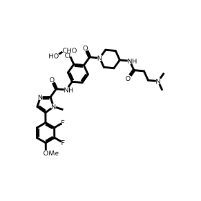 COc1ccc(-c2cnc(C(=O)Nc3ccc(C(=O)N4CCC(NC(=O)CCN(C)C)CC4)c(Cl)c3)n2C)c(F)c1F.O=CO